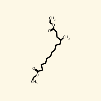 CCOC(=O)CCCCCCCCCC(C)CCC(=O)OCC